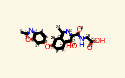 Cc1nc2ccc(Oc3ccc4c(O)c(C(=O)NCC(=O)O)nc(C)c4c3)cc2o1